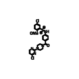 COc1ccc(Cl)cc1S(=O)(=O)Nc1ccc(C(=O)N2CCN(c3nccc(Cl)n3)CC2)cc1